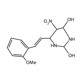 COc1ccccc1/C=C/C1NC(O)NC(O)C1[N+](=O)[O-]